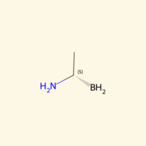 B[C@@H](C)N